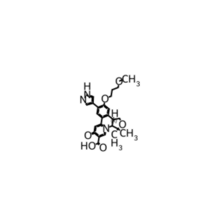 COCCCOc1cc2c(cc1-c1cn[nH]c1)-c1cc(=O)c(C(=O)O)cn1C1[C@@H]2COC1(C)C